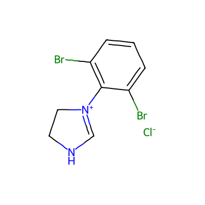 Brc1cccc(Br)c1[N+]1=CNCC1.[Cl-]